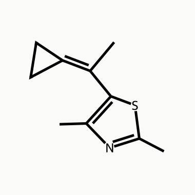 CC(=C1CC1)c1sc(C)nc1C